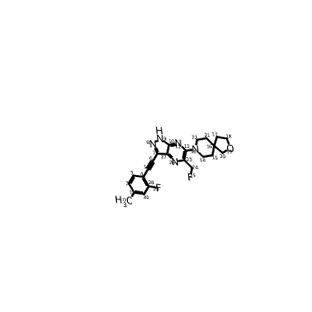 Cc1ccc(C#Cc2n[nH]c3nc(N4CCC5(CCOC5)CC4)c(CF)nc23)c(F)c1